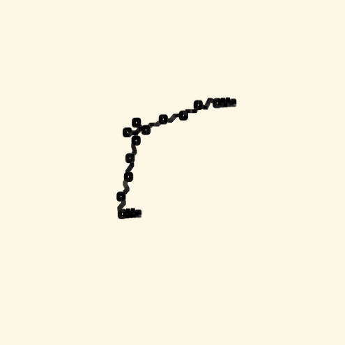 COCCOCCOCCOCCOC(=O)C(=O)OCCOCCOCCOCCOC